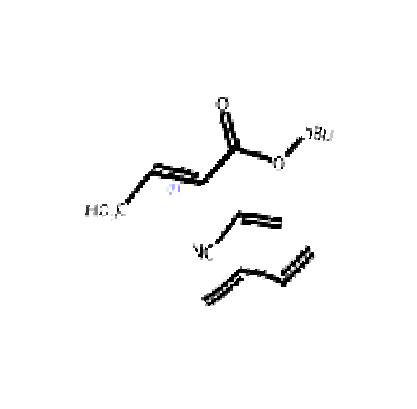 C=CC#N.C=CC=C.CCCCOC(=O)/C=C/C(=O)O